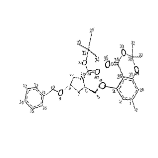 Cc1cc(OC[C@H]2C[C@H](OCc3ccccc3)CN2C(=O)OC(C)(C)C)c2c(c1)OC(C)(C)OC2=O